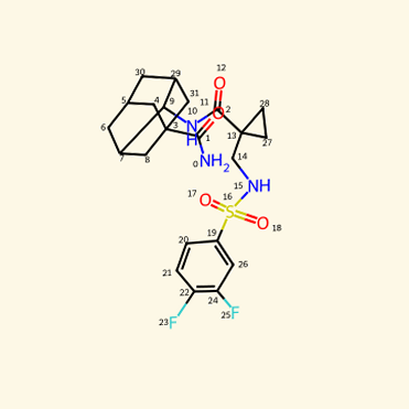 NC(=O)C12CC3CC(C1)C(NC(=O)C1(CNS(=O)(=O)c4ccc(F)c(F)c4)CC1)C(C3)C2